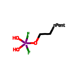 CCCCCCCOP(O)(O)(F)F